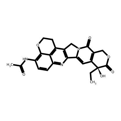 CC[C@@]1(O)C(=O)OCc2c1cc1n(c2=O)Cc2c-1nc1ccc(NC(C)=O)c3c1c2CCO3